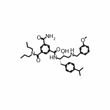 CCCN(CCC)C(=O)c1cc(C(N)=O)cc(C(=O)N[C@@H](Cc2ccc(C(C)C)cc2)[C@H](O)CNCc2cccc(OC)c2)c1